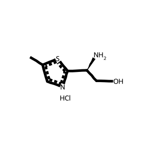 Cc1cnc([C@@H](N)CO)s1.Cl